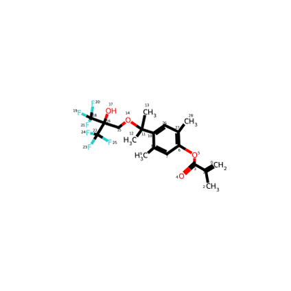 C=C(C)C(=O)Oc1cc(C)c(C(C)(C)OCC(O)(C(F)(F)F)C(F)(F)F)cc1C